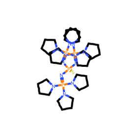 S=P(N=P(N1CCCC1)(N1CCCC1)N1CCCC1)(N=P(N1CCCC1)(N1CCCC1)N1CCCC1)N=P(N1CCCC1)(N1CCCC1)N1CCCC1